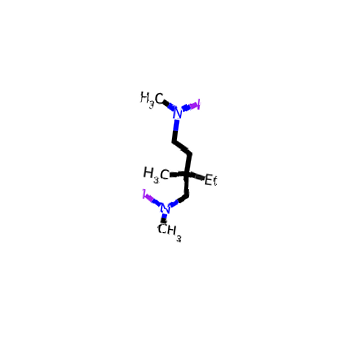 CCC(C)(CCN(C)I)CN(C)I